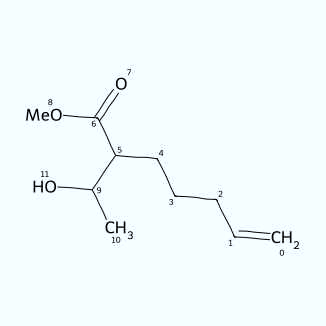 C=CCCCC(C(=O)OC)C(C)O